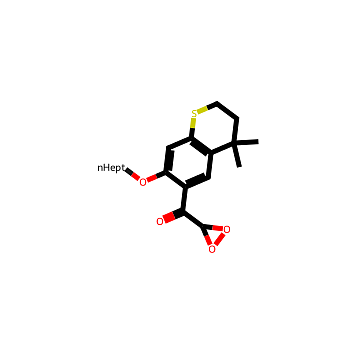 CCCCCCCOc1cc2c(cc1C(=O)C1OO1)C(C)(C)CCS2